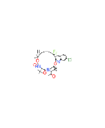 CC(=O)[C@@H]1[C@H](C)[C@@H]2CN1C(=O)[C@H](C(C)(C)C)NC(=O)O[C@]1(C)C[C@H]1CCCCC(F)(F)c1cc3ccc(Cl)cc3nc1O2